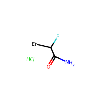 CCC(F)C(N)=O.Cl